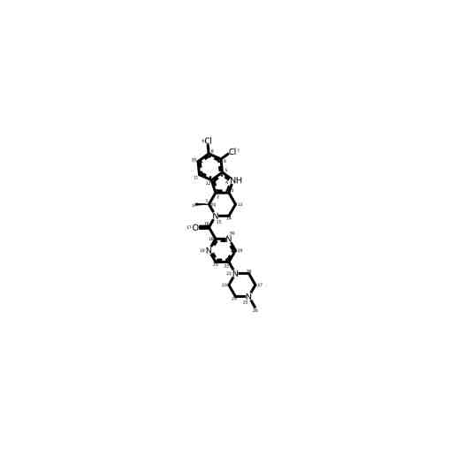 C[C@H]1c2c([nH]c3c(Cl)c(Cl)ccc23)CCN1C(=O)c1ncc(N2CCN(C)CC2)cn1